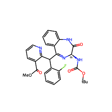 COC(=O)c1cccnc1C(C1=N[C@H](NC(=O)OC(C)(C)C)C(=O)Nc2ccccc21)c1ccccc1F